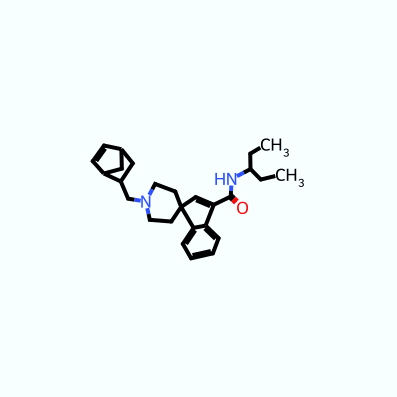 CCC(CC)NC(=O)C1=CC2(CCN(CC3CC4C=CC3C4)CC2)c2ccccc21